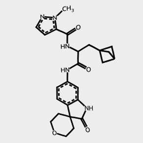 Cn1nccc1C(=O)NC(CC12CC(C1)C2)C(=O)Nc1ccc2c(c1)NC(=O)C21CCOCC1